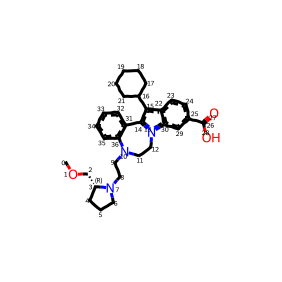 COC[C@H]1CCCN1CCN1CCn2c(c(C3CCCCC3)c3ccc(C(=O)O)cc32)-c2ccccc21